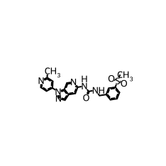 Cc1cc(-n2ncc3cc(NC(=O)NCc4cccc(S(C)(=O)=O)c4)ncc32)ccn1